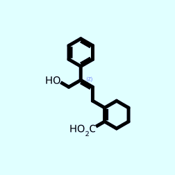 O=C(O)C1=C(C/C=C(\CO)c2ccccc2)CCCC1